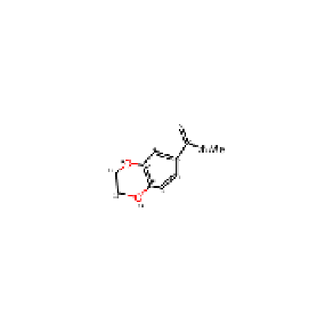 C=C(NC)c1ccc2c(c1)OCCO2